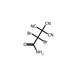 N#CC(C#N)(C#N)C(Br)(Br)C(N)=O